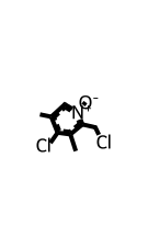 Cc1c[n+]([O-])c(CCl)c(C)c1Cl